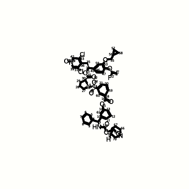 O=C(N[C@@H](c1ccccc1)c1cccc(OC(=O)c2cccc(S(=O)(=O)N3CCC[C@H]3C(=O)O[C@@H](Cc3c(Cl)c[n+]([O-])cc3Cl)c3ccc(OC(F)F)c(OCC4CC4)c3)c2)c1)O[C@H]1CN2CCC1CC2